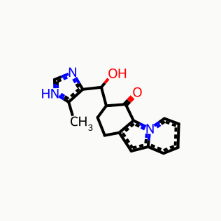 Cc1[nH]cnc1C(O)C1CCc2cc3ccccn3c2C1=O